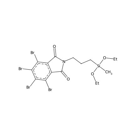 CCO[Si](C)(CCCN1C(=O)c2c(Br)c(Br)c(Br)c(Br)c2C1=O)OCC